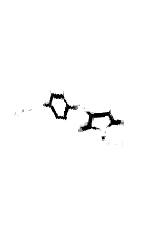 CCCCN1C(=O)C=C(Nc2ccc(OC)cc2)C1=O